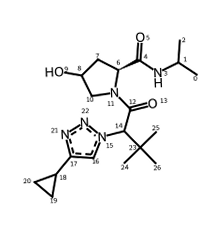 CC(C)NC(=O)[C@@H]1CC(O)CN1C(=O)C(n1cc(C2CC2)nn1)C(C)(C)C